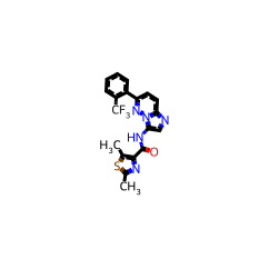 Cc1nc(C(=O)Nc2cnc3ccc(-c4ccccc4C(F)(F)F)nn23)c(C)s1